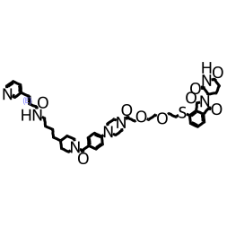 O=C(/C=C/c1cccnc1)NCCCCC1CCN(C(=O)c2ccc(N3CCN(C(=O)COCCOCCSc4cccc5c4C(=O)N(C4CCC(=O)NC4=O)C5=O)CC3)cc2)CC1